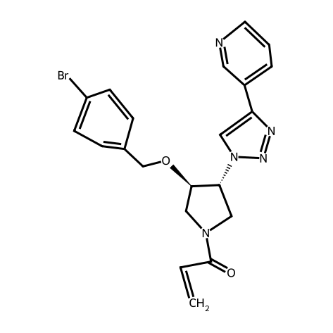 C=CC(=O)N1C[C@@H](n2cc(-c3cccnc3)nn2)[C@H](OCc2ccc(Br)cc2)C1